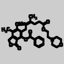 COc1c(C)c2c(c(OC(=O)c3ccccc3)c1CC=C(C)CCC(=O)OCCN1CCOCC1)C(=O)OC2